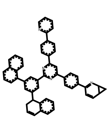 C1=Cc2ccccc2C(c2cc(-c3nc(-c4ccc(C5=NC6CC6C=C5)cc4)cc(-c4ccc(-c5ccccn5)cc4)n3)cc(-c3cccc4ccccc34)c2)C1